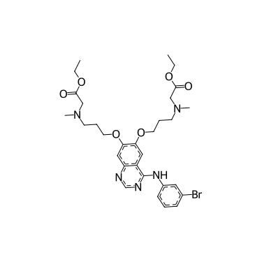 CCOC(=O)CN(C)CCCOc1cc2ncnc(Nc3cccc(Br)c3)c2cc1OCCCN(C)CC(=O)OCC